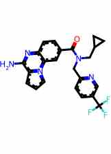 Nc1nc2ccc(C(=O)N(Cc3ccc(C(F)(F)F)cn3)CC3CC3)cc2n2cccc12